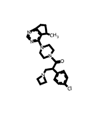 CC1CCc2ncnc(N3CCN(C(=O)C(CN4CCC4)c4ccc(Cl)cc4)CC3)c21